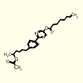 C=CCCCCCC(=O)Oc1cnc(-c2ccc(CCCCC(C)OC(C)=O)cc2)nc1